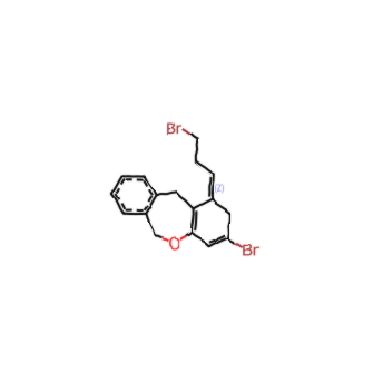 BrCC/C=C1/CC(Br)=CC2=C1Cc1ccccc1CO2